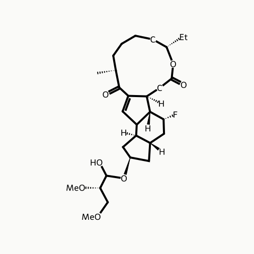 CC[C@H]1CCCC[C@@H](C)C(=O)C2=CC3[C@@H]([C@H](F)C[C@@H]4C[C@@H](OC(O)[C@H](COC)OC)C[C@@H]34)[C@@H]2CC(=O)O1